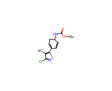 CC(C)(C)OC(=O)NC1C=CC(c2snc(Cl)c2C#N)=CC1